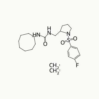 O=C(NCC1CCCN1S(=O)(=O)c1ccc(F)cc1)N[C]1CCCCCCC1.[CH2].[CH2]